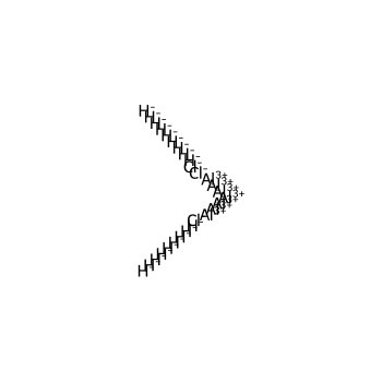 [Al+3].[Al+3].[Al+3].[Al+3].[Al+3].[Al+3].[Al+3].[Cl-].[Cl-].[Cl-].[H-].[H-].[H-].[H-].[H-].[H-].[H-].[H-].[H-].[H-].[H-].[H-].[H-].[H-].[H-].[H-].[H-].[H-]